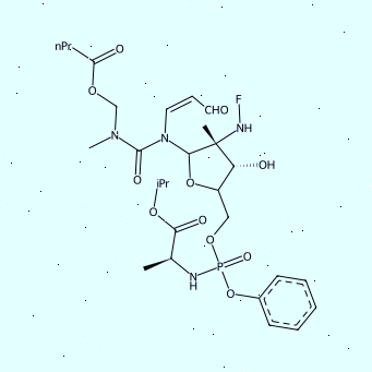 CCCC(=O)OCN(C)C(=O)N(/C=C\C=O)C1OC(COP(=O)(N[C@@H](C)C(=O)OC(C)C)Oc2ccccc2)[C@@H](O)[C@@]1(C)NF